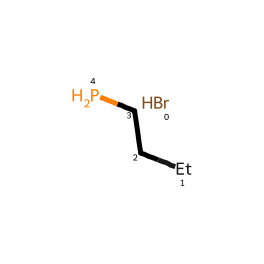 Br.[CH2]CCCP